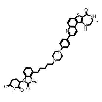 C[C@@H]1CNc2c(sc3ccc4nc(-c5ccc(N6CCN(CCCCCc7cccc8c7n(C)c(=O)n8C7CCC(=O)NC7=O)CC6)cc5)ccc4c23)C(=O)N1